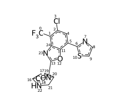 FC(F)(F)c1c(Cl)cc(-c2nccs2)c2oc(N3CC4COCC3CN4)nc12